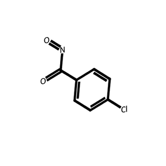 O=NC(=O)c1ccc(Cl)cc1